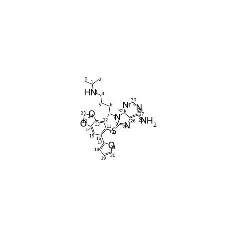 CC(C)NCCCCn1c(Sc2cc3c(cc2-c2ccco2)OCO3)nc2c(N)ncnc21